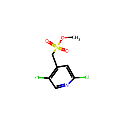 COS(=O)(=O)Cc1cc(Cl)ncc1Cl